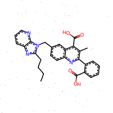 CCCCc1nc2cccnc2n1Cc1ccc2nc(-c3ccccc3C(=O)O)c(C)c(C(=O)O)c2c1